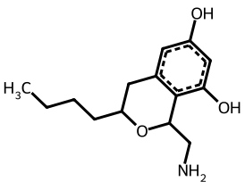 CCCCC1Cc2cc(O)cc(O)c2C(CN)O1